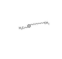 CCCCCCCCCCCCc1ccc(CCCC)cc1